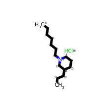 CCCCCCCN1CCCC(CCC)C1.Cl